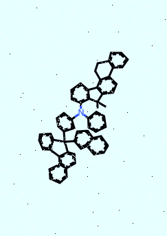 CC1(C)c2ccc3c(c2-c2cccc(N(c4ccccc4)c4cccc(C5(c6ccc7ccccc7c6)c6ccccc6-c6c5ccc5ccccc65)c4)c21)CCc1ccccc1-3